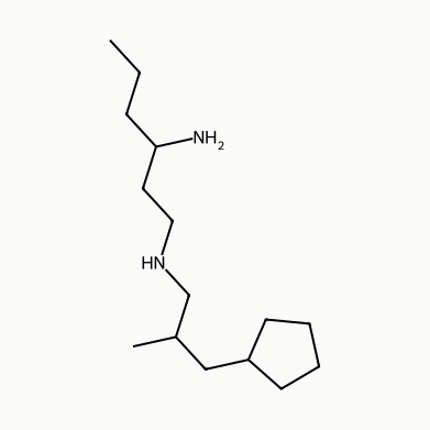 CCCC(N)CCNCC(C)CC1CCCC1